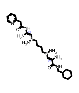 N/C(=C\N(N)CCCCN(N)/C=C(\N)NC(=O)Cc1ccccn1)C(=O)NCC1CCCCC1